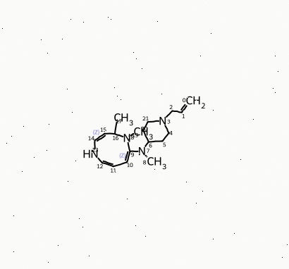 C=CCN1CCC(N(C)/C2=C/C=CN/C=C\C(C)N2C)CC1